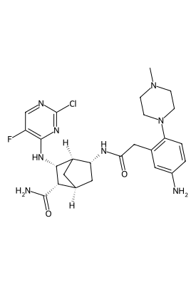 CN1CCN(c2ccc(N)cc2CC(=O)N[C@@H]2C[C@@H]3C[C@H]2[C@@H](Nc2nc(Cl)ncc2F)[C@H]3C(N)=O)CC1